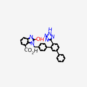 O=C(O)c1cccc2nc(O)n(Cc3ccc(-c4cc(-c5ccccc5)ccc4-c4nn[nH]n4)cc3)c12